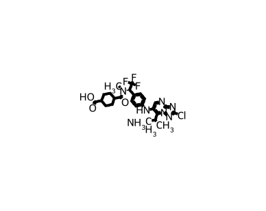 CC(C)c1c(Nc2ccc([C@H](N(C)C(=O)C3CCC(C(=O)O)CC3)C(F)(F)F)cc2)cnc2nc(Cl)nn12.N